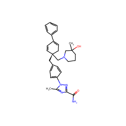 Cc1nc(C(N)=O)nn1-c1ccc(C[C@@]2(CN3CCCC(C)(O)C3)C=CC(c3ccccc3)=CC2)cc1